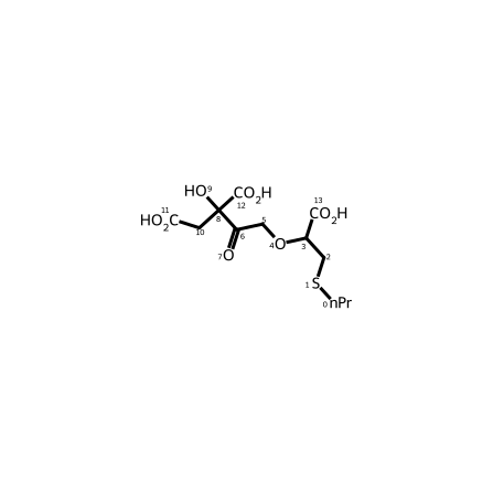 CCCSCC(OCC(=O)C(O)(CC(=O)O)C(=O)O)C(=O)O